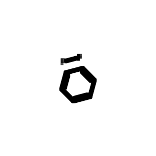 FF.c1ccccc1